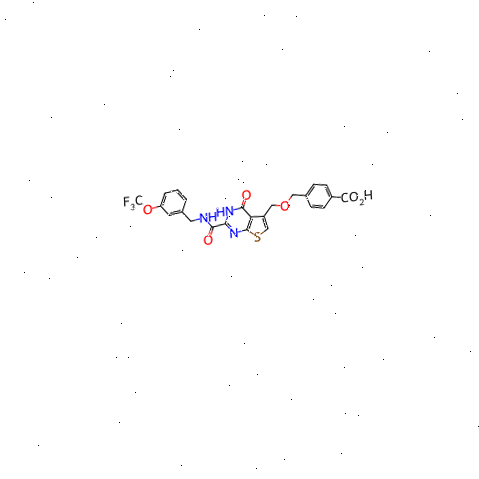 O=C(O)c1ccc(COCc2csc3nc(C(=O)NCc4cccc(OC(F)(F)F)c4)[nH]c(=O)c23)cc1